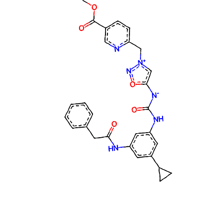 COC(=O)c1ccc(C[n+]2cc([N-]C(=O)Nc3cc(NC(=O)Cc4ccccc4)cc(C4CC4)c3)on2)nc1